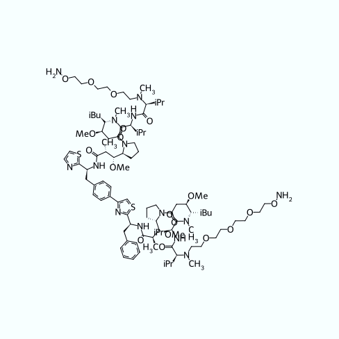 CC[C@H](C)[C@@H]([C@@H](CC(=O)N1CCC[C@H]1[C@H](OC)[C@@H](C)C(=O)N[C@@H](Cc1ccc(-c2csc([C@H](Cc3ccccc3)NC(=O)[C@H](C)[C@@H](OC)[C@@H]3CCCN3C(=O)C[C@@H](OC)[C@H]([C@@H](C)CC)N(C)C(=O)[C@@H](NC(=O)[C@H](C(C)C)N(C)CCOCCOCCOCCON)C(C)C)n2)cc1)c1nccs1)OC)N(C)C(=O)[C@@H](NC(=O)[C@H](C(C)C)N(C)CCOCCOCCON)C(C)C